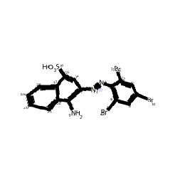 Nc1c(/N=N/c2c(Br)cc(Br)cc2Br)cc(S(=O)(=O)O)c2ccccc12